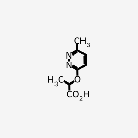 Cc1ccc(OC(C)C(=O)O)nn1